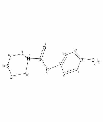 [CH2]c1ccc(OC(=O)N2CCSCC2)cc1